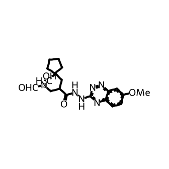 COc1ccc2nc(NNC(=O)C(CN(O)C=O)CC3(C)CCCC3)nnc2c1